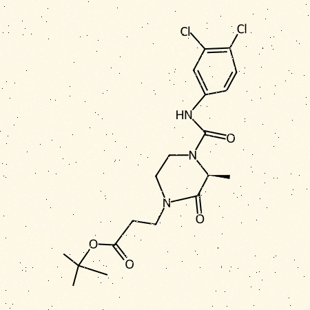 C[C@H]1C(=O)N(CCC(=O)OC(C)(C)C)CCN1C(=O)Nc1ccc(Cl)c(Cl)c1